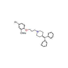 COc1cc(C(C)=O)ccc1OCCCN1CCC(=C(c2ccccc2)c2ccccc2)CC1